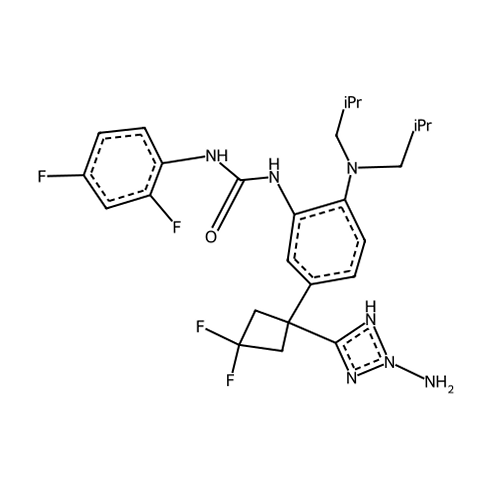 CC(C)CN(CC(C)C)c1ccc(C2(c3nn(N)[nH]3)CC(F)(F)C2)cc1NC(=O)Nc1ccc(F)cc1F